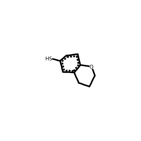 Sc1ccc2c(c1)CCCO2